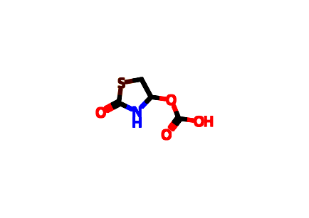 O=C(O)OC1CSC(=O)N1